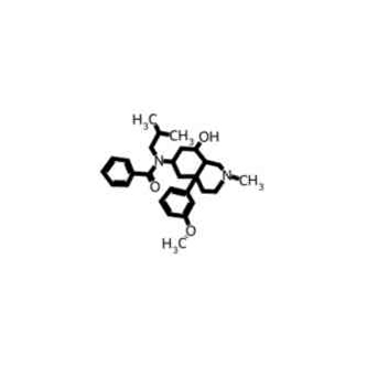 COc1cccc(C23CCN(C)CC2C(O)CC(N(CC(C)C)C(=O)c2ccccc2)C3)c1